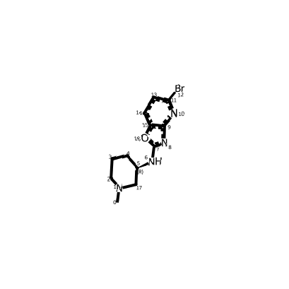 CN1CCC[C@@H](Nc2nc3nc(Br)ccc3o2)C1